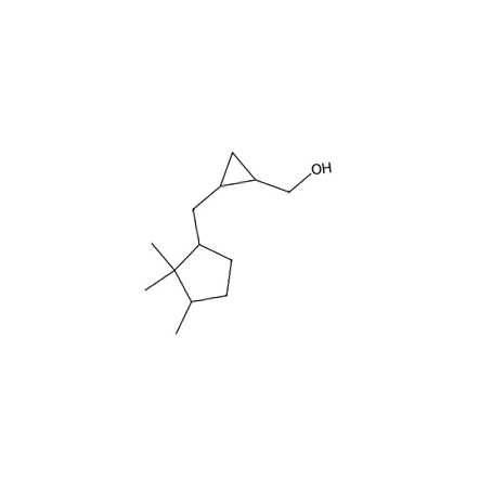 CC1CCC(CC2CC2CO)C1(C)C